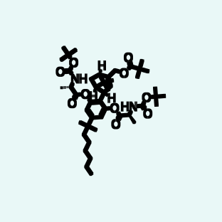 CCCCCCC(C)(C)c1cc(OC(=O)[C@H](C)NC(=O)OC(C)(C)C)c([C@H]2C=C(COC(=O)C(C)(C)C)[C@H]3C[C@@H]2C3(C)C)c(OC(=O)[C@H](C)NC(=O)OC(C)(C)C)c1